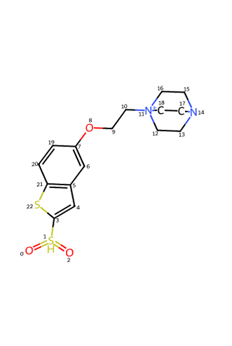 O=[SH](=O)c1cc2cc(OCC[N+]34CCN(CC3)CC4)ccc2s1